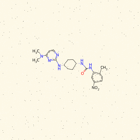 Cc1ccc([N+](=O)[O-])cc1NC(=O)N[C@H]1CC[C@@H](Nc2nccc(N(C)C)n2)CC1